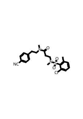 Cc1cccc(Cl)c1S(=O)(=O)N(C)CCC(=O)N(C)CCc1ccc(C#N)cc1